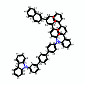 c1ccc(-c2ccc(-c3ccccc3N(c3ccc(-c4ccc(-c5cccc(-n6c7ccccc7c7ccccc76)c5)cc4)cc3)c3ccc(-c4cccc(-c5ccc6ccccc6c5)c4)cc3)cc2)cc1